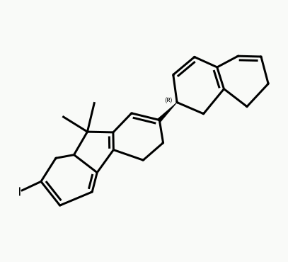 CC1(C)C2=C(CCC([C@H]3C=CC4=C(CCC=C4)C3)=C2)C2=CC=C(I)CC21